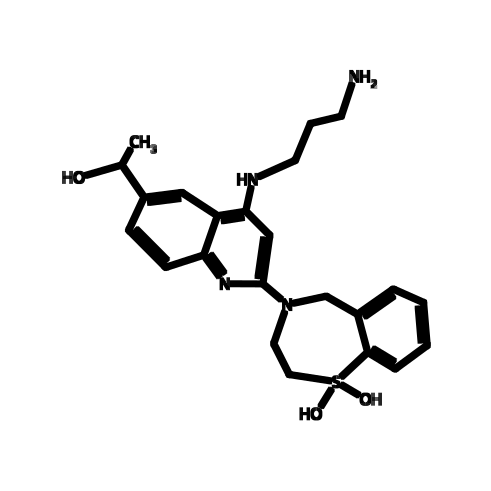 CC(O)c1ccc2nc(N3CCS(O)(O)c4ccccc4C3)cc(NCCCN)c2c1